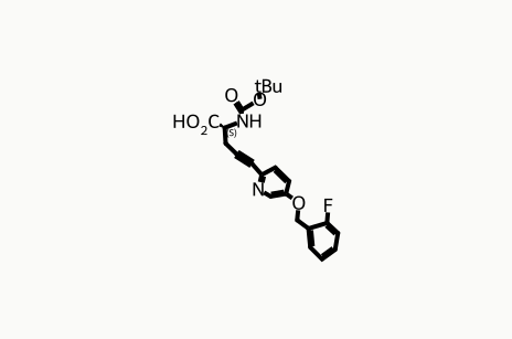 CC(C)(C)OC(=O)N[C@@H](CC#Cc1ccc(OCc2ccccc2F)cn1)C(=O)O